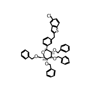 Clc1ccc2sc(Cc3cccc([C@@H]4O[C@H](COCc5ccccc5)[C@@H](OCc5ccccc5)[C@H](OCc5ccccc5)[C@H]4OCc4ccccc4)c3)cc2c1